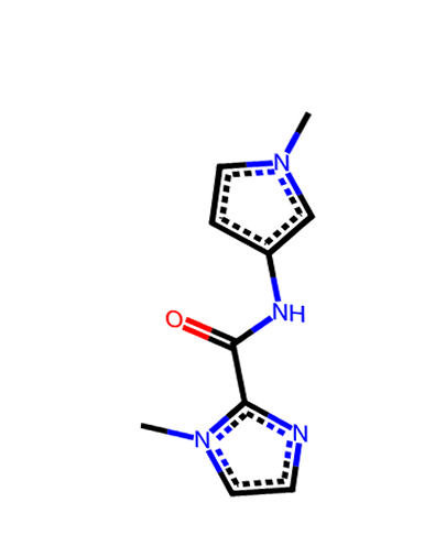 Cn1ccc(NC(=O)c2nccn2C)c1